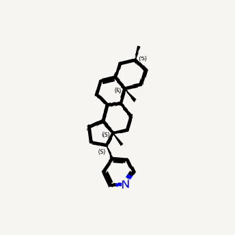 C[C@H]1CC[C@@]2(C)C(=CCC3C2CC[C@@]2(C)C3CC[C@@H]2c2ccncc2)C1